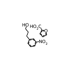 O=C(O)c1ccco1.O=[N+]([O-])c1cccc(CCCO)c1